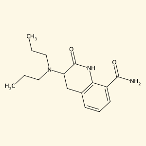 CCCN(CCC)C1Cc2cccc(C(N)=O)c2NC1=O